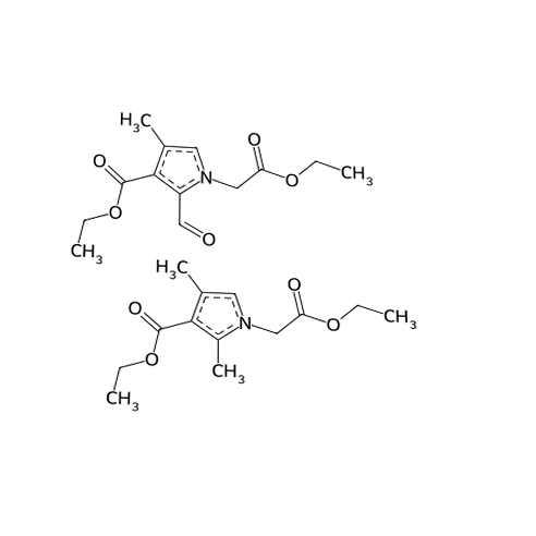 CCOC(=O)Cn1cc(C)c(C(=O)OCC)c1C.CCOC(=O)Cn1cc(C)c(C(=O)OCC)c1C=O